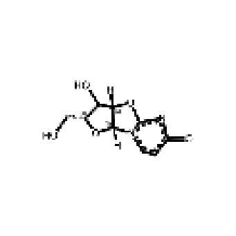 O=c1ccn2c(n1)O[C@H]1C(O)[C@@H](CO)O[C@H]12